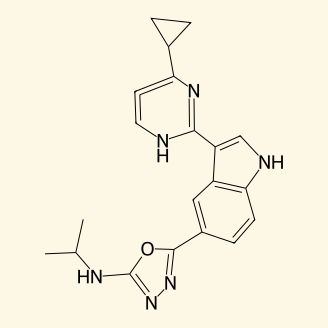 CC(C)Nc1nnc(-c2ccc3[nH]cc(C4=NC(C5CC5)=C=CN4)c3c2)o1